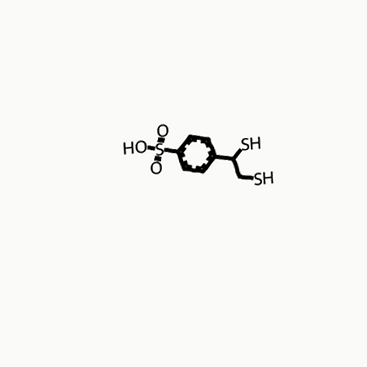 O=S(=O)(O)c1ccc(C(S)CS)cc1